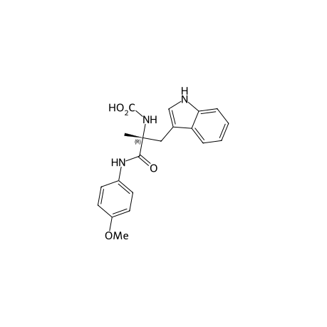 COc1ccc(NC(=O)[C@@](C)(Cc2c[nH]c3ccccc23)NC(=O)O)cc1